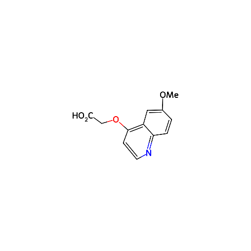 COc1ccc2nccc(OCC(=O)O)c2c1